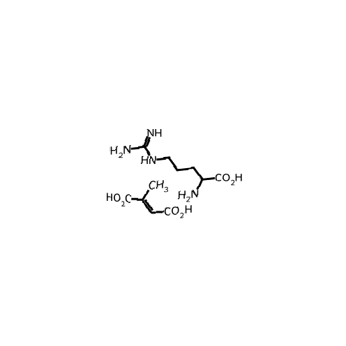 C/C(=C\C(=O)O)C(=O)O.N=C(N)NCCCC(N)C(=O)O